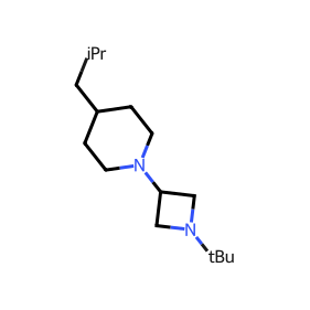 CC(C)CC1CCN(C2CN(C(C)(C)C)C2)CC1